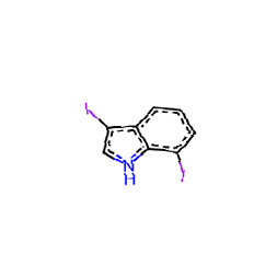 Ic1c[nH]c2c(I)cccc12